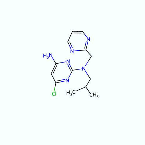 CC(C)CN(Cc1ncccn1)c1nc(N)cc(Cl)n1